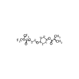 C=C(C)C(=O)OC1CCC(OCCOC(=O)C(C(F)(F)F)C(F)(F)F)CC1